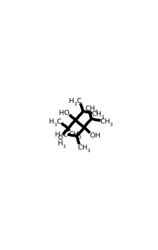 CC(C)C(O)(C(C)C)C(O)(C(C)C)C(C)(C)C